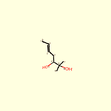 [CH2]/C=C/CC(O)C(C)(C)O